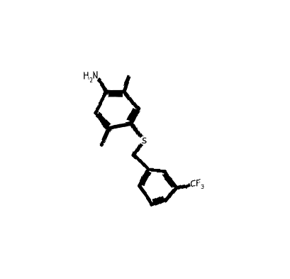 Cc1cc(SCc2cccc(C(F)(F)F)c2)c(C)cc1N